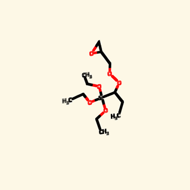 CCO[Si](OCC)(OCC)C(CC)OOCC1CO1